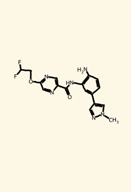 Cn1cc(-c2ccc(N)c(NC(=O)c3cnc(OCC(F)F)cn3)c2)cn1